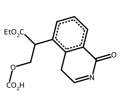 CCOC(=O)C(COC(=O)O)c1cccc2c1CC=NC2=O